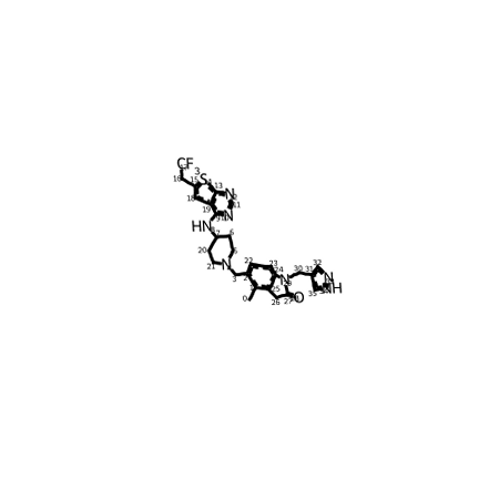 Cc1c(CN2CCC(Nc3ncnc4sc(CC(F)(F)F)cc34)CC2)ccc2c1CC(=O)N2Cc1cn[nH]c1